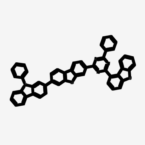 c1ccc(-c2nc(-c3ccc4c(c3)oc3cc(-c5ccc6c7ccccc7n(-c7ccccc7)c6c5)ccc34)nc(-c3cccc4oc5ccccc5c34)n2)cc1